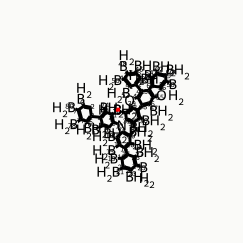 Bc1cc(-c2c(B)c(B)c(N(c3c(B)c(B)c(-c4c(B)c(B)c(B)c(B)c4B)c(B)c3B)c3c(B)c(B)c4c(oc5c(-c6c(B)c(B)c(B)c(B)c6B)c6c(oc7c(B)c(B)c(B)c(B)c76)c(B)c54)c3B)c(B)c2B)c(B)c(B)c1B